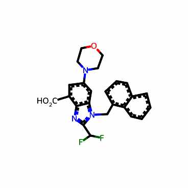 O=C(O)c1cc(N2CCOCC2)cc2c1nc(C(F)F)n2Cc1cccc2ccccc12